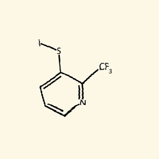 FC(F)(F)c1ncccc1SI